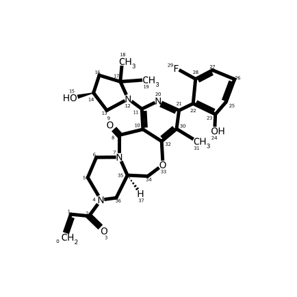 C=CC(=O)N1CCN2C(=O)c3c(N4C[C@@H](O)CC4(C)C)nc(-c4c(O)cccc4F)c(C)c3OC[C@H]2C1